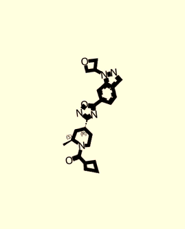 C[C@H]1C[C@H](c2noc(-c3ccc4cnn(C5COC5)c4c3)n2)CCN1C(=O)C1CCC1